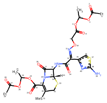 CCC(=O)OC(C)OC(=O)CON=C(C(=O)NC1C(=O)N2C(C(=O)OC(C)OC(=O)CC)=C(SC)CS[C@@H]12)c1csc(N)n1